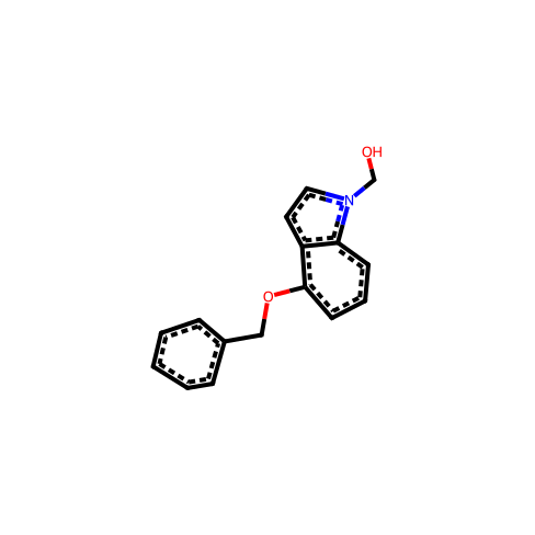 OCn1ccc2c(OCc3ccccc3)cccc21